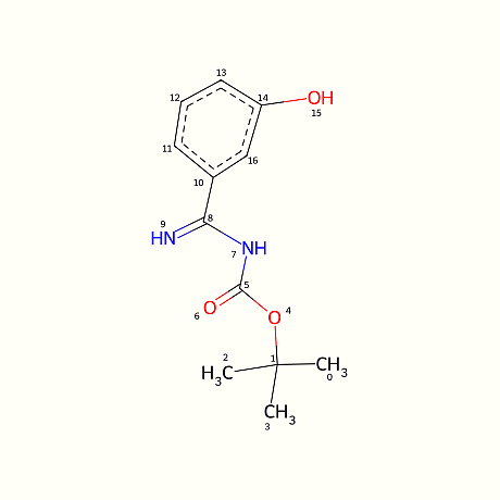 CC(C)(C)OC(=O)NC(=N)c1cccc(O)c1